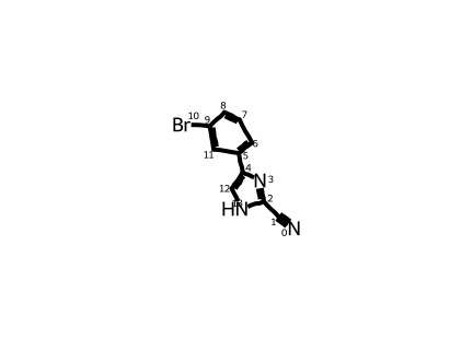 N#Cc1nc(-c2cccc(Br)c2)c[nH]1